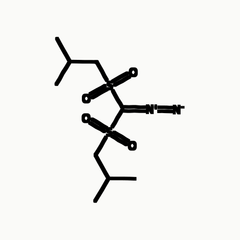 CC(C)CS(=O)(=O)C(=[N+]=[N-])S(=O)(=O)CC(C)C